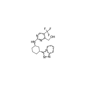 OCc1nc(N[C@@H]2CCC[C@H](c3nnc4ccccn34)C2)ncc1C(F)(F)F